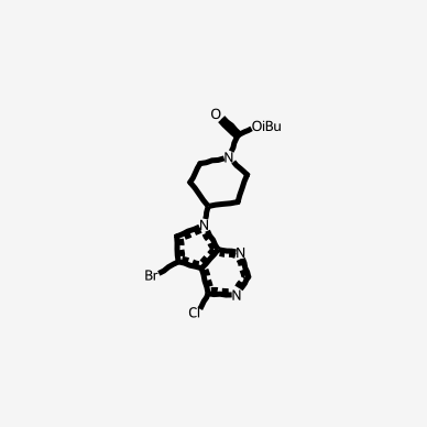 CC(C)COC(=O)N1CCC(n2cc(Br)c3c(Cl)ncnc32)CC1